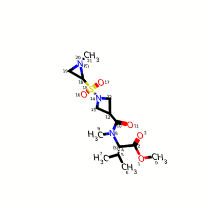 COC(=O)[C@H](C(C)C)N(C)C(=O)C1CN(S(=O)(=O)C2C[N@@]2C)C1